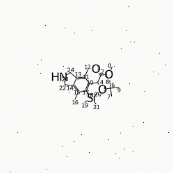 COC(=O)C(OC(C)(C)C)c1c(C)c2c(c(C)c1[Si](C)(C)C)CNC2